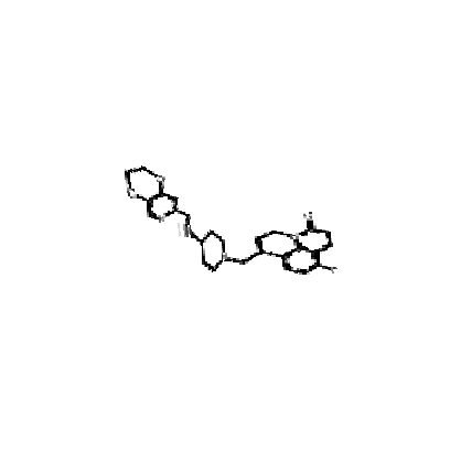 O=c1ccc2c(F)ccc3c2n1CCC3CN1CCC(NCc2cc3c(cn2)OCCO3)CC1